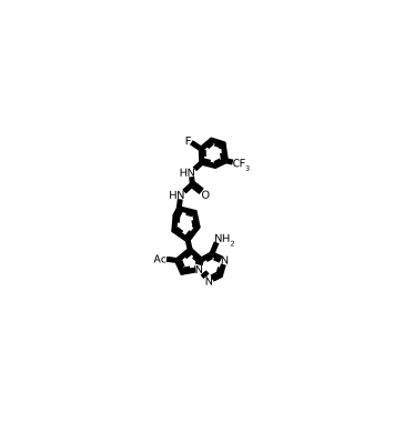 CC(=O)c1cn2ncnc(N)c2c1-c1ccc(NC(=O)Nc2cc(C(F)(F)F)ccc2F)cc1